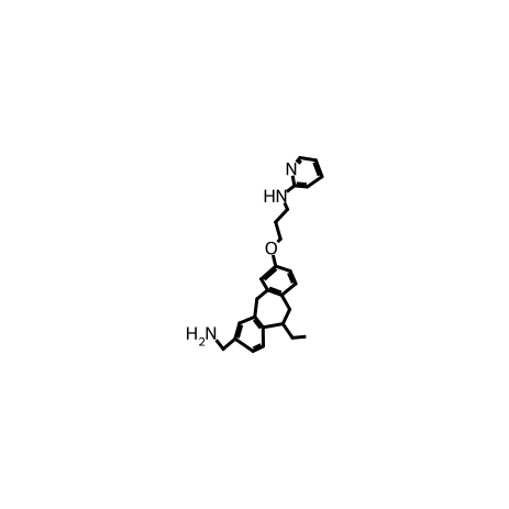 CCC1Cc2ccc(OCCCNc3ccccn3)cc2Cc2cc(CN)ccc21